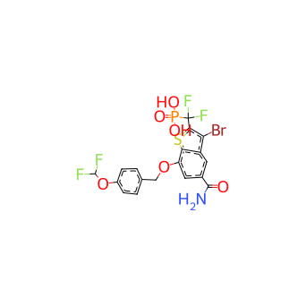 NC(=O)c1cc(OCc2ccc(OC(F)F)cc2)c2sc(C(F)(F)P(=O)(O)O)c(Br)c2c1